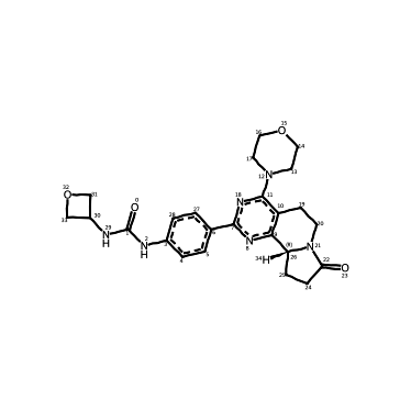 O=C(Nc1ccc(-c2nc3c(c(N4CCOCC4)n2)CCN2C(=O)CC[C@H]32)cc1)NC1COC1